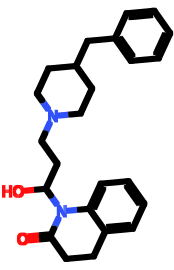 O=C1CCc2ccccc2N1C(O)CCN1CCC(Cc2ccccc2)CC1